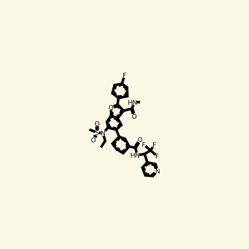 CCN(c1cc2oc(-c3ccc(F)cc3)c(C(=O)NC)c2cc1-c1cccc(C(=O)NC(c2cccnc2)C(F)(F)F)c1)S(C)(=O)=O